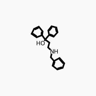 OC(CCNCc1ccccc1)(c1ccccc1)c1ccccc1